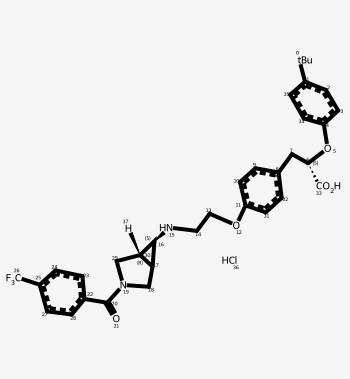 CC(C)(C)c1ccc(O[C@@H](Cc2ccc(OCCN[C@H]3C4CN(C(=O)c5ccc(C(F)(F)F)cc5)C[C@@H]43)cc2)C(=O)O)cc1.Cl